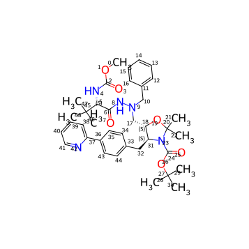 COC(=O)N[C@H](C(=O)NN(Cc1ccccc1)C[C@@H]1OC(C)(C)N(C(=O)OC(C)(C)C)[C@H]1Cc1ccc(-c2ccccn2)cc1)C(C)(C)C